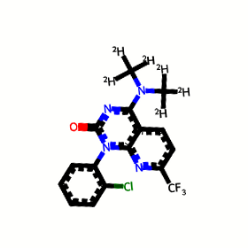 [2H]C([2H])([2H])N(c1nc(=O)n(-c2ccccc2Cl)c2nc(C(F)(F)F)ccc12)C([2H])([2H])[2H]